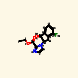 CCOC(=O)c1nccn1C1Cc2c(F)cccc2C1=O